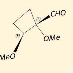 CO[C@H]1CC[C@]1(C=O)OC